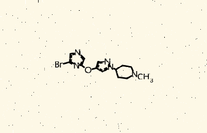 CN1CCC(n2cc(Oc3cncc(Br)n3)cn2)CC1